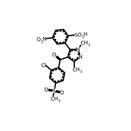 Cc1nn(C)c(-c2cc([N+](=O)[O-])ccc2S(=O)(=O)O)c1C(=O)c1ccc(S(C)(=O)=O)cc1Cl